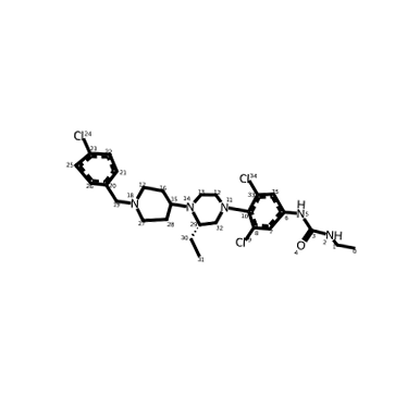 CCNC(=O)Nc1cc(Cl)c(N2CCN(C3CCN(Cc4ccc(Cl)cc4)CC3)[C@@H](CC)C2)c(Cl)c1